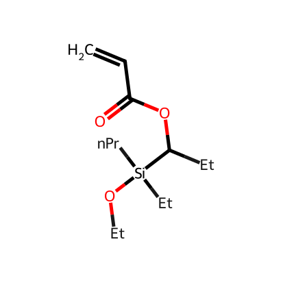 C=CC(=O)OC(CC)[Si](CC)(CCC)OCC